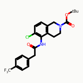 CC(C)(C)OC(=O)N1CCc2c(ccc(Cl)c2NC(=O)Cc2ccc(C(F)(F)F)cc2)C1